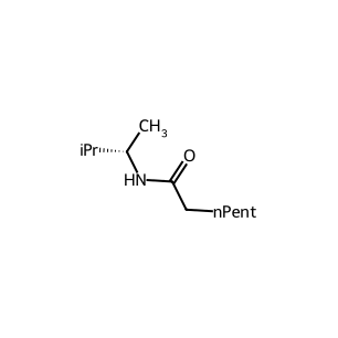 CCCCCCC(=O)N[C@@H](C)C(C)C